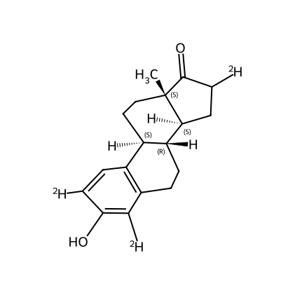 [2H]c1cc2c(c([2H])c1O)CC[C@@H]1[C@@H]2CC[C@]2(C)C(=O)C([2H])C[C@@H]12